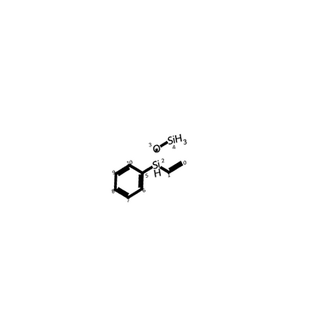 C=C[SiH](O[SiH3])c1ccccc1